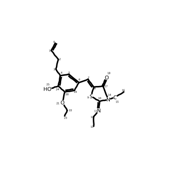 C=CCCc1cc(/C=C2\SC(=NCC)N(CC)C2=O)cc(OCC)c1O